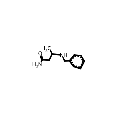 CC(CC(N)=O)NCc1ccccc1